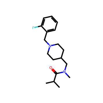 CC(C)C(=O)N(C)CC1CCN(Cc2ccccc2F)CC1